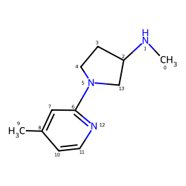 CNC1CCN(c2cc(C)ccn2)C1